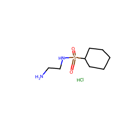 Cl.NCCNS(=O)(=O)C1CCCCC1